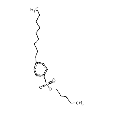 CCCCCCCCCc1ccc(S(=O)(=O)OCCCCC)cc1